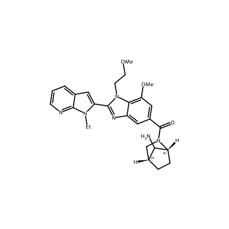 CCn1c(-c2nc3cc(C(=O)N4C[C@H]5CC[C@@H]4C5N)cc(OC)c3n2CCOC)cc2cccnc21